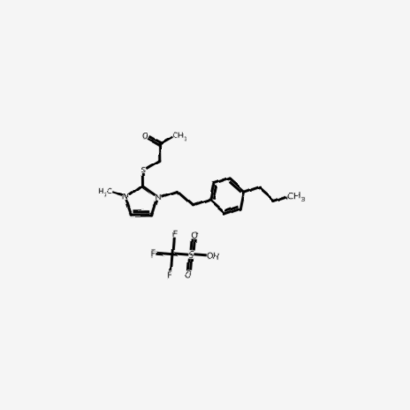 CCCc1ccc(CCN2C=CN(C)C2SCC(C)=O)cc1.O=S(=O)(O)C(F)(F)F